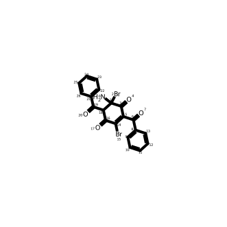 NC1(Br)C(=O)C(C(=O)c2ccccc2)=C(Br)C(=O)C1C(=O)c1ccccc1